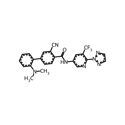 CN(C)c1ccccc1-c1ccc(C(=O)Nc2cnc(-n3nccn3)c(C(F)(F)F)c2)c(C#N)c1